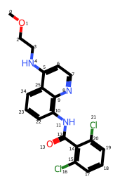 COCCNc1ccnc2c(NC(=O)c3c(Cl)cccc3Cl)cccc12